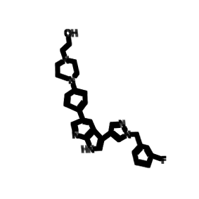 OCCN1CCN(c2ccc(-c3cnc4[nH]cc(-c5cnn(Cc6cccc(F)c6)c5)c4c3)cc2)CC1